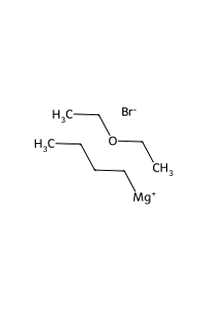 CCC[CH2][Mg+].CCOCC.[Br-]